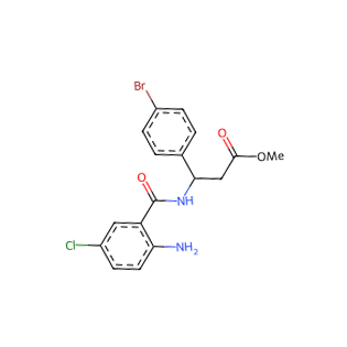 COC(=O)CC(NC(=O)c1cc(Cl)ccc1N)c1ccc(Br)cc1